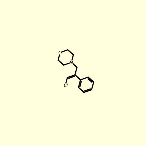 ClC=C(CN1CCOCC1)c1ccccc1